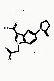 CC(=O)c1cn(CC(=O)O)c2ccc(N3CCCC3=O)cc12